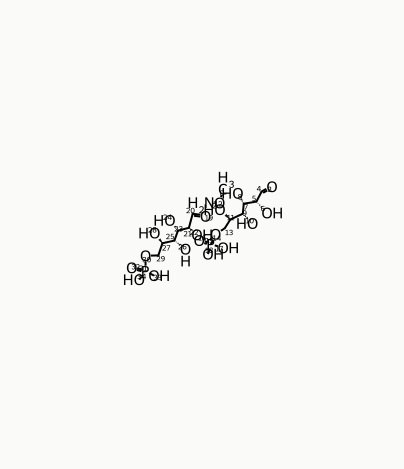 CON.O=C[C@H](O)[C@@H](O)[C@H](O)[C@H](O)COP(=O)(O)O.O=C[C@H](O)[C@@H](O)[C@H](O)[C@H](O)COP(=O)(O)O